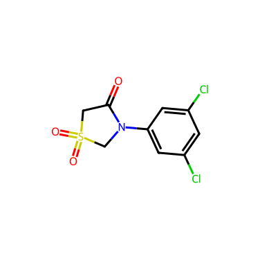 O=C1CS(=O)(=O)CN1c1cc(Cl)cc(Cl)c1